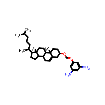 CC(C)CCCC(C)C1CCC2C3CC=C4CC(OCOc5cc(N)cc(N)c5)CCC4(C)C3CCC12C